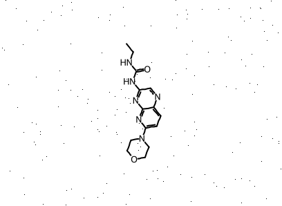 CCNC(=O)Nc1cnc2ccc(N3CCOCC3)nc2n1